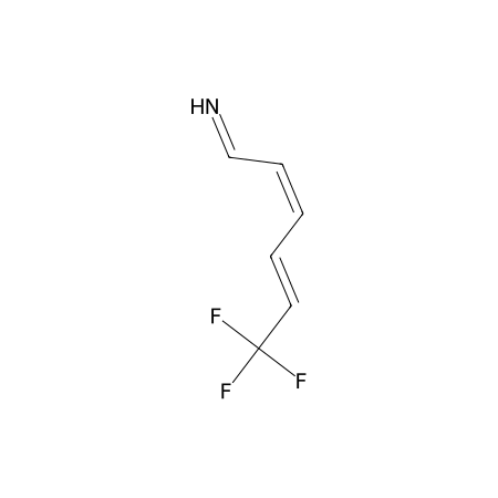 N=C/C=C\C=C\C(F)(F)F